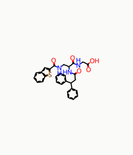 O=C(O)CNC(=O)C(CNC(=O)c1cc2ccccc2s1)NC(=O)CC(c1ccccc1)c1ccccc1